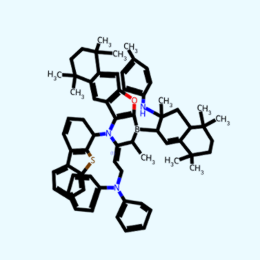 Cc1ccc(NC2(C)CC3C(=CC2B2c4oc5cc6c(cc5c4N(C4CC=Cc5c4sc4ccccc54)/C(=C/CN(c4ccccc4)c4ccccc4)C2C)C(C)(C)CCC6(C)C)C(C)(C)CCC3(C)C)cc1